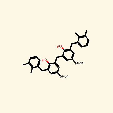 CCCCCCCCCc1cc(Cc2cccc(C)c2C)c(O)c(Cc2cc(CCCCCCCCC)cc(Cc3cccc(C)c3C)c2O)c1